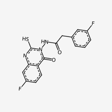 O=C(Cc1cccc(F)c1)Nn1c(S)nc2cc(F)ccc2c1=O